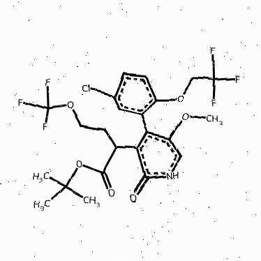 COc1c[nH]c(=O)c(C(CCOC(F)(F)F)C(=O)OC(C)(C)C)c1-c1cc(Cl)ccc1OCC(F)(F)F